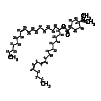 CCCC/C=C\C/C=C\CCCCCCCCC(CCCCCCCC/C=C\CCCCCCC)OC(=O)C1CCC(N(C)C)CC1